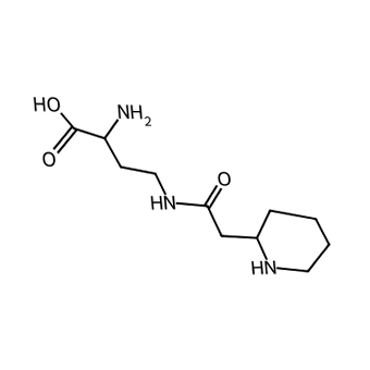 NC(CCNC(=O)CC1CCCCN1)C(=O)O